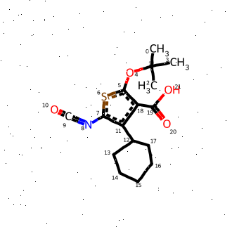 CC(C)(C)Oc1sc(N=C=O)c(C2CCCCC2)c1C(=O)O